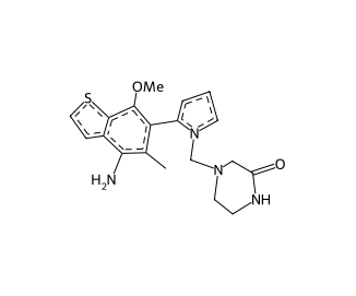 COc1c(-c2cccn2CN2CCNC(=O)C2)c(C)c(N)c2ccsc12